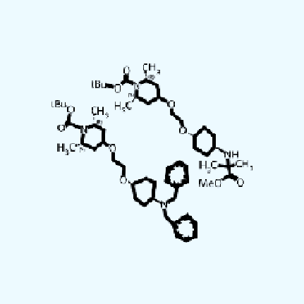 COC(=O)C(C)(C)N[C@H]1CC[C@H](OCCOC2C[C@@H](C)N(C(=O)OC(C)(C)C)[C@@H](C)C2)CC1.C[C@@H]1CC(OCCO[C@H]2CC[C@H](N(Cc3ccccc3)Cc3ccccc3)CC2)C[C@H](C)N1C(=O)OC(C)(C)C